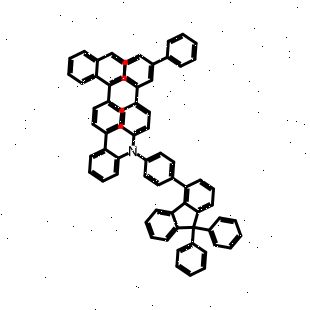 c1ccc(-c2cccc(-c3ccc(N(c4ccc(-c5cccc6c5-c5ccccc5C6(c5ccccc5)c5ccccc5)cc4)c4ccccc4-c4ccc(-c5cccc6ccccc56)cc4)cc3)c2)cc1